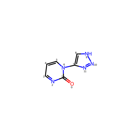 O=c1ncccn1-c1c[nH]nn1